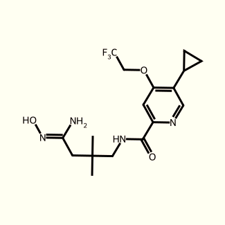 CC(C)(CNC(=O)c1cc(OCC(F)(F)F)c(C2CC2)cn1)C/C(N)=N/O